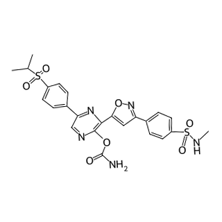 CNS(=O)(=O)c1ccc(-c2cc(-c3nc(-c4ccc(S(=O)(=O)C(C)C)cc4)cnc3OC(N)=O)on2)cc1